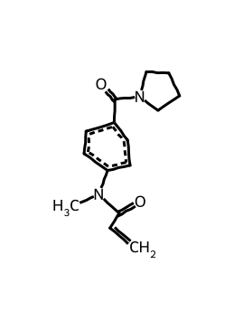 C=CC(=O)N(C)c1ccc(C(=O)N2CCCC2)cc1